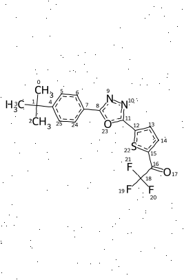 CC(C)(C)c1ccc(-c2nnc(-c3ccc(C(=O)C(F)(F)F)s3)o2)cc1